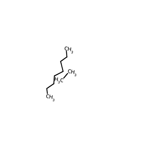 CC.CCCCCCCC